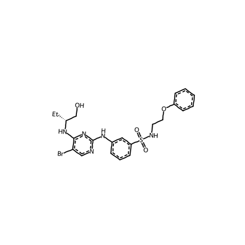 CC[C@H](CO)Nc1nc(Nc2cccc(S(=O)(=O)NCCOc3ccccc3)c2)ncc1Br